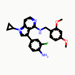 COc1ccc(CNc2nccc3c2c(-c2ccc(N)c(F)c2)cn3C2CC2)c(OC)c1